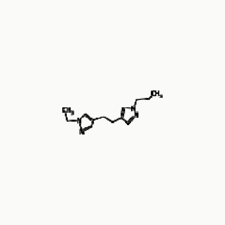 CCCn1cc(CCc2cnn(CC)c2)cn1